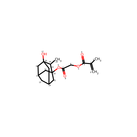 C=C(C)C(=O)OCC(=O)OC12CC3CC(CC(O)(C3)C1C)C2